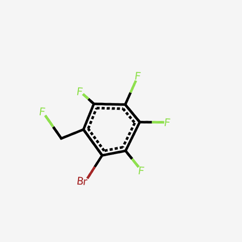 FCc1c(F)c(F)c(F)c(F)c1Br